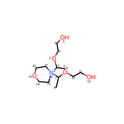 CC(OCCO)[N+]1(C(C)OCCO)CCOCC1